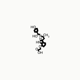 C[C@H](Cc1c[nH]c2c(OCC(=O)O)cccc12)NC[C@@H](O)c1ccc(O)cc1